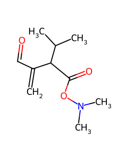 C=C(C=O)C(C(=O)ON(C)C)C(C)C